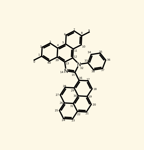 Cc1ccc2c3ccc(C)cc3c3c(nc(-c4ccc5ccc6cccc7ccc4c5c67)n3-c3ccccc3)c2c1